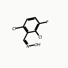 O/N=C\c1c(Cl)ccc(F)c1Cl